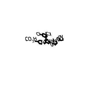 O=C(O)CC1CCN(Cc2cc(Oc3ccc(N4CCN5CCC4C5)nn3)nc(-c3cc(Cl)cc(Cl)c3)c2)CC1